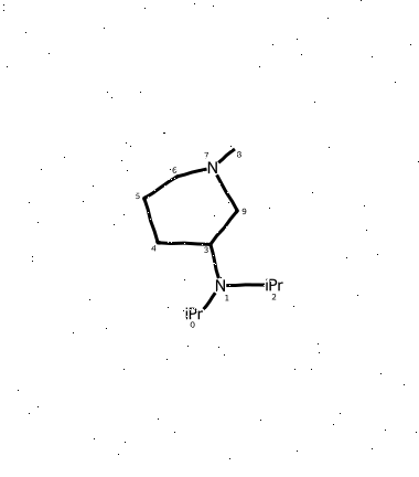 CC(C)N(C(C)C)C1CCCN(C)C1